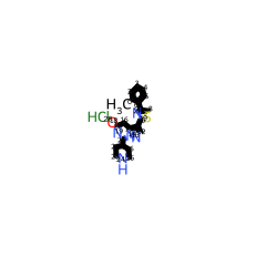 Cc1ccccc1-c1csc(-c2cnn3c2CC(=O)N=C3C2CCNCC2)n1.Cl